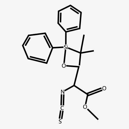 COC(=O)C(CO[Si](c1ccccc1)(c1ccccc1)C(C)(C)C)N=C=S